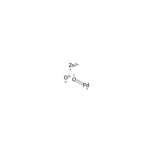 [O-2].[O]=[Pd].[Zn+2]